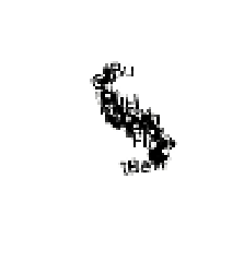 CC(C)(C)OC(=O)N1C[C@H](F)[C@H](Nc2nccc3c(CC(F)(F)F)c(-c4noc(CNC(=O)c5cnn(C(C)(C)C)c5)n4)sc23)C1